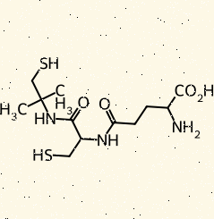 CC(C)(CS)NC(=O)C(CS)NC(=O)CCC(N)C(=O)O